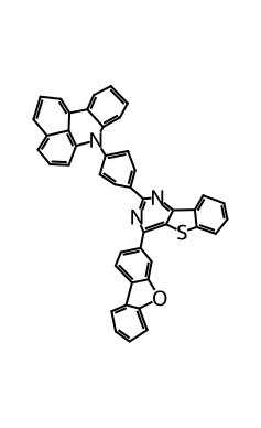 c1ccc2c(c1)-c1cccc3cccc(c13)N2c1ccc(-c2nc(-c3ccc4c(c3)oc3ccccc34)c3sc4ccccc4c3n2)cc1